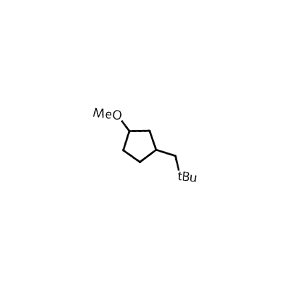 COC1CCC(CC(C)(C)C)C1